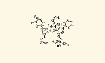 C=S=C(NC[C@@H]1CN(CCOC)O[C@H]1c1ccc(F)c(F)c1)Nc1c(C)c(OCC(C)(C)O)nn1-c1ccccc1